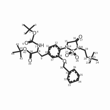 CC(C)(C)OC(=O)N[C@@H](Cc1ccc(N2CC(=O)N(CC[Si](C)(C)C)S2(=O)=O)c(OCc2ccccc2)c1)C(=O)OC(C)(C)C